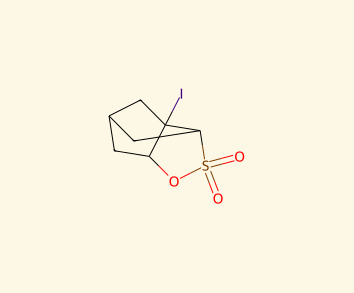 O=S1(=O)OC2CC3CC1C2(I)C3